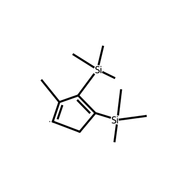 CC1=[C]CC([Si](C)(C)C)=C1[Si](C)(C)C